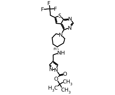 CC(C)(C)OC(=O)n1cc(CN[C@@H]2CCCN(c3ncnc4sc(CC(F)(F)F)cc34)CC2)cn1